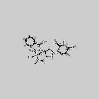 COP(=O)(O)C(C)O[C@H]1O[C@@H](n2cc(C)c(=O)[nH]c2=O)C[C@@H]1OC(=O)c1ccccc1